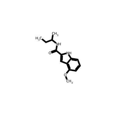 CCC(C)NC(=O)c1cc2c(OC)cccc2[nH]1